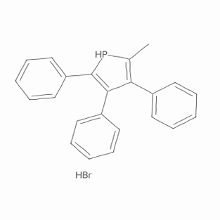 Br.Cc1[pH]c(-c2ccccc2)c(-c2ccccc2)c1-c1ccccc1